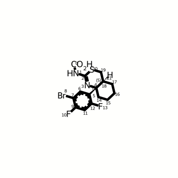 O=C(O)NC1=N[C@@]2(c3cc(Br)c(F)cc3F)CCCC[C@@H]2CS1